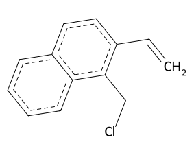 C=Cc1ccc2ccccc2c1CCl